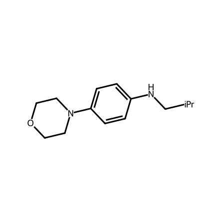 CC(C)CNc1ccc(N2CCOCC2)cc1